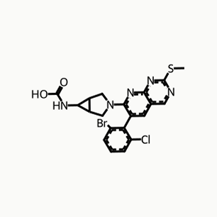 CSc1ncc2cc(-c3c(Cl)cccc3Br)c(N3CC4C(C3)C4NC(=O)O)nc2n1